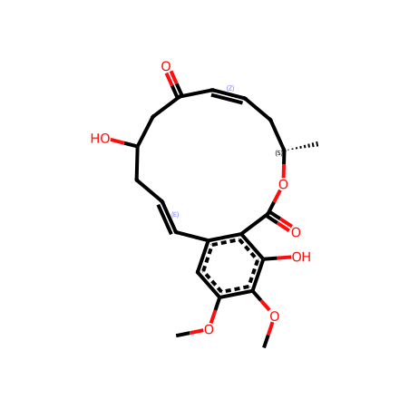 COc1cc2c(c(O)c1OC)C(=O)O[C@@H](C)C/C=C\C(=O)CC(O)C/C=C/2